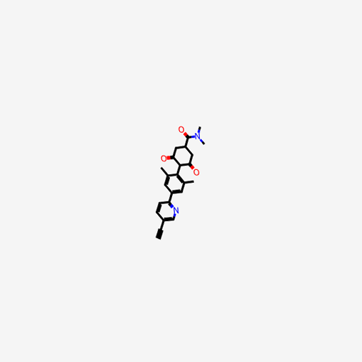 C#Cc1ccc(-c2cc(C)c(C3C(=O)CC(C(=O)N(C)C)CC3=O)c(C)c2)nc1